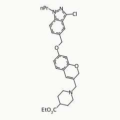 CCCn1nc(Cl)c2cc(COc3ccc4c(c3)OCC(CN3CCC(C(=O)OCC)CC3)=C4)ccc21